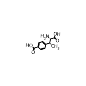 C[C@@H](c1ccc(C(=O)O)cc1)[C@H](N)C(=O)O